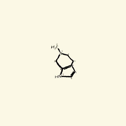 CN1CCc2cc[nH]c2C1